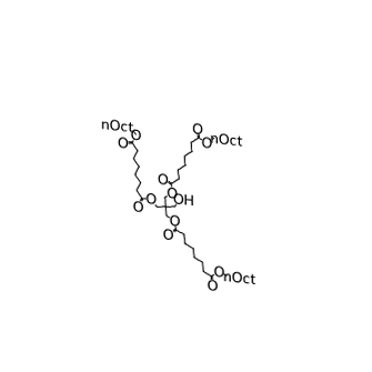 CCCCCCCCOC(=O)CCCCCCC(=O)OCC(CO)(COC(=O)CCCCCCC(=O)OCCCCCCCC)COC(=O)CCCCCCC(=O)OCCCCCCCC